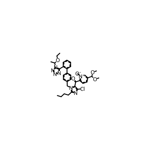 CCCCc1nc(Cl)c(C(=O)c2ccc(C(OC)OC)c[n+]2[O-])n1Cc1ccc(-c2ccccc2-c2nnnn2C(C)OCC)cc1